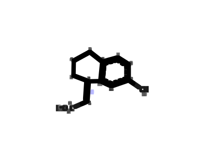 CCOC(=O)/C=C1\CCCc2ccc(C#N)cc21